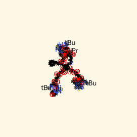 CC(C)OC(=O)CCC/C=C\C[C@@H]1[C@@H](CC[C@H](CCc2ccccc2)OC(=O)COC(=O)CCC(=O)O[C@@H](CNC(C)(C)C)COc2nsnc2N2CCOCC2)[C@H](OC(=O)COC(=O)CCC(=O)O[C@@H](CNC(C)(C)C)COc2nsnc2N2CCOCC2)C[C@@H]1OC(=O)COC(=O)CCC(=O)O[C@@H](CNC(C)(C)C)COc1nsnc1N1CCOCC1